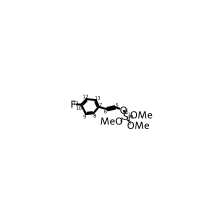 CO[Si](OC)(OC)OC#Cc1ccc(F)cc1